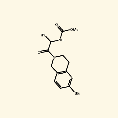 COC(=O)NC(C(=O)N1CCc2nc(C(C)(C)C)ccc2C1)C(C)C